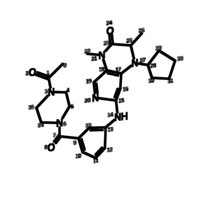 CC(=O)N1CCN(C(=O)c2cccc(Nc3cc4c(cn3)N(C)C(=O)C(C)N4C3CCCC3)c2)CC1